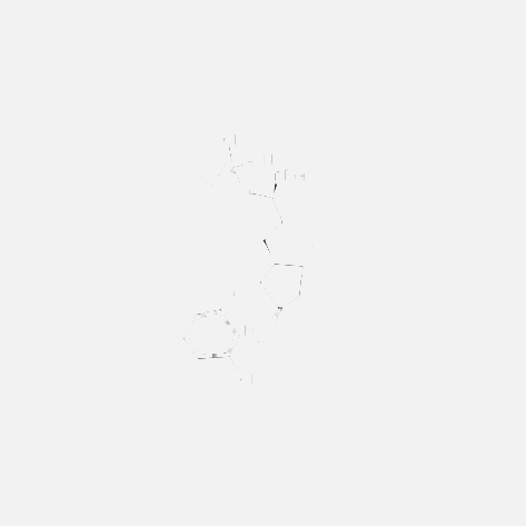 C=C1C[C@@H](C)[C@H](CC[C@H](CCCCC)O[Si](C)(C)C(C)(C)C)[C@H]1Cc1cccc(C)c1